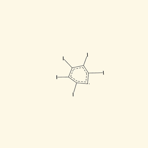 Ic1[c]c(I)c(I)c(I)c1I